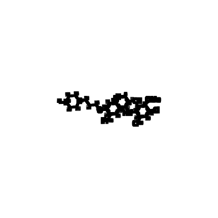 COc1cc(Nc2c(C#N)cnc3cc(OCCCN4CCN(C)CC4)c(C(C)C)cc23)c(Cl)cc1Cl